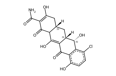 NC(=O)C1=C(O)C[C@@H]2C[C@H]3C(=C(O)C2C1=O)C(=O)c1c(O)ccc(Cl)c1[C@H]3O